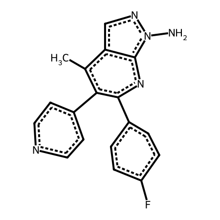 Cc1c(-c2ccncc2)c(-c2ccc(F)cc2)nc2c1cnn2N